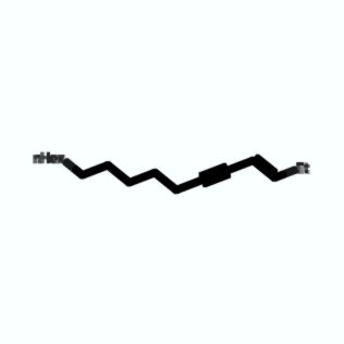 CC/C=C/C#CCCCCCCCCCCC